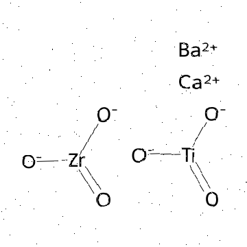 [Ba+2].[Ca+2].[O]=[Ti]([O-])[O-].[O]=[Zr]([O-])[O-]